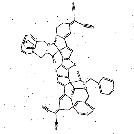 N#CC(C#N)=C1C=C(C2=Cc3sc4c5c(sc4c3C2(C(=O)OCc2ccccc2)C(=O)OCc2ccccc2)C=C(C2=CC(=C(C#N)C#N)CCC2)C5(C(=O)OCc2ccccc2)C(=O)OCc2ccccc2)CCC1